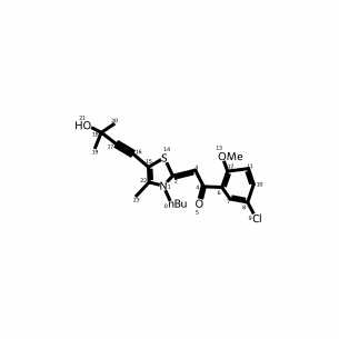 CCCCN1C(=CC(=O)c2cc(Cl)ccc2OC)SC(C#CC(C)(C)O)=C1C